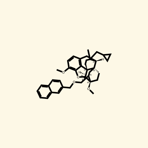 COc1ccc2c3c1O[C@H]1[C@@]4(OC)CC[C@@]5(C[C@@H]4COCc4ccc6ccccc6c4)[C@@H](C2)C(C)(CC2CC2)CC[C@]315